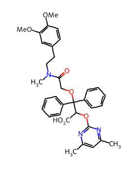 COc1ccc(CCN(C)C(=O)COC(c2ccccc2)(c2ccccc2)C(Oc2nc(C)cc(C)n2)C(=O)O)cc1OC